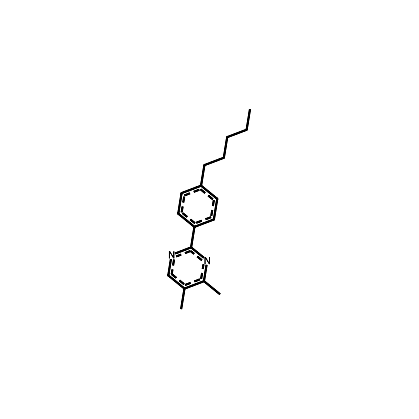 CCCCCc1ccc(-c2ncc(C)c(C)n2)cc1